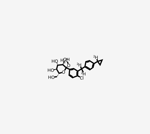 [2H]C1(c2ccc(C([2H])([2H])c3cc(C4(OC)O[C@H](CO)[C@@H](O)[C@H](O)[C@H]4O)ccc3Cl)cc2)CC1